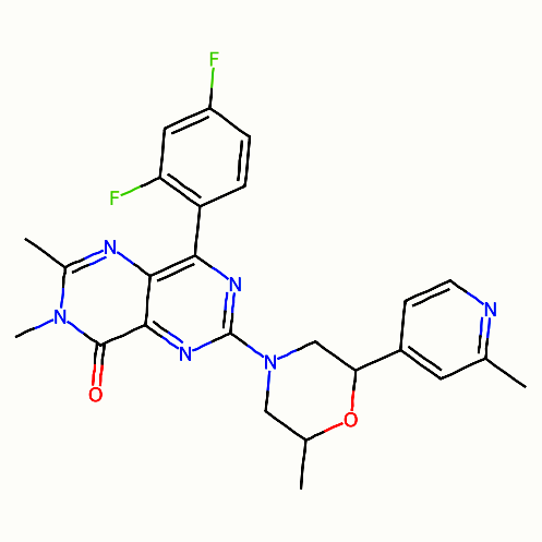 Cc1cc(C2CN(c3nc(-c4ccc(F)cc4F)c4nc(C)n(C)c(=O)c4n3)CC(C)O2)ccn1